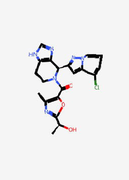 Cc1nc([C@H](C)O)oc1C(=O)N1CCc2[nH]cnc2[C@H]1c1cc2c(Cl)cccn2n1